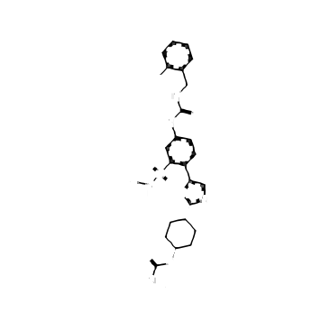 CC(C)(C)NS(=O)(=O)c1cc(NC(=O)NCc2ccccc2F)ccc1-c1cnc([C@H]2CC[C@H](OC(N)=O)CC2)s1